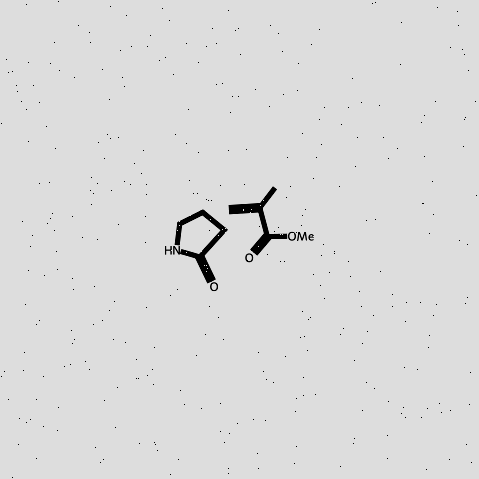 C=C(C)C(=O)OC.O=C1CCCN1